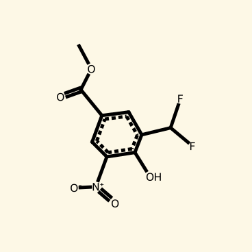 COC(=O)c1cc(C(F)F)c(O)c([N+](=O)[O-])c1